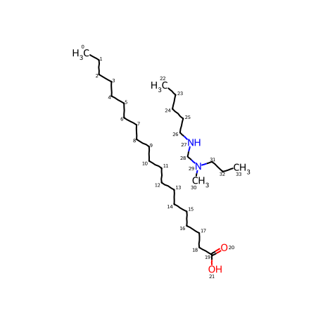 CCCCCCCCCCCCCCCCCCCC(=O)O.CCCCCNCN(C)CCC